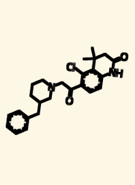 CC1(C)CC(=O)Nc2ccc(C(=O)CN3CCCC(Cc4ccccc4)C3)c(Cl)c21